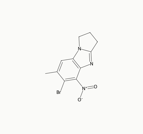 Cc1cc2c(nc3n2CCC3)c([N+](=O)[O-])c1Br